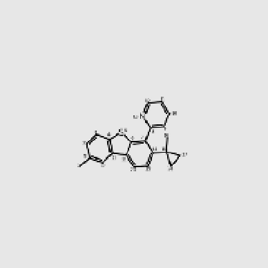 Cc1ccc2sc3c(-c4ccccn4)c(C4(C)CC4)ccc3c2c1